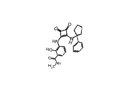 CNC(=O)c1cccc(Nc2c(NC3(c4ccccc4)CCCC3)c(=O)c2=O)c1O